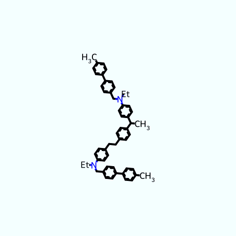 CCN(Cc1ccc(-c2ccc(C)cc2)cc1)c1ccc(CCc2ccc(C(C)c3ccc(N(CC)Cc4ccc(-c5ccc(C)cc5)cc4)cc3)cc2)cc1